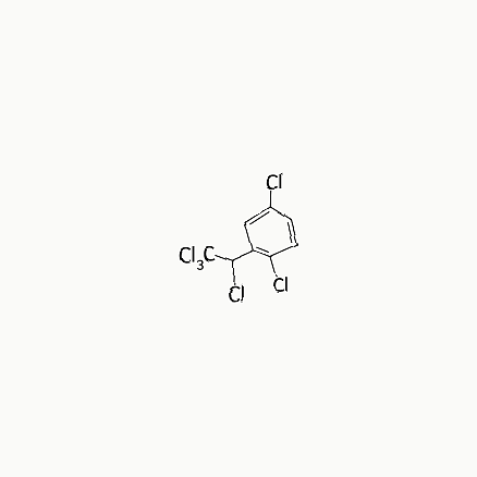 Clc1ccc(Cl)c(C(Cl)C(Cl)(Cl)Cl)c1